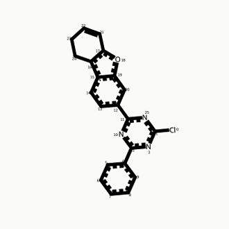 Clc1nc(-c2ccccc2)nc(-c2ccc3c4c(oc3c2)C=CCC4)n1